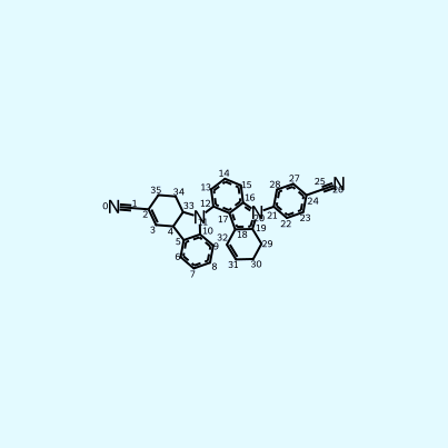 N#CC1=CC2c3ccccc3N(c3cccc4c3c3c(n4-c4ccc(C#N)cc4)CCC=C3)C2CC1